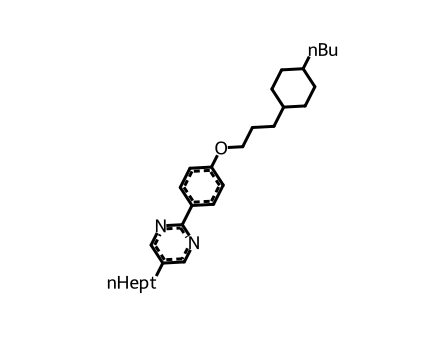 CCCCCCCc1cnc(-c2ccc(OCCCC3CCC(CCCC)CC3)cc2)nc1